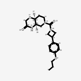 CCCOc1ccc(C2CN(C(=O)N3CC[C@@H]4OCC(=O)N[C@@H]4C3)C2)cc1